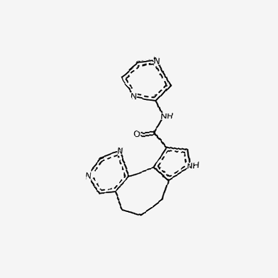 O=C(Nc1cnccn1)c1c[nH]c2c1-c1ncncc1CCC2